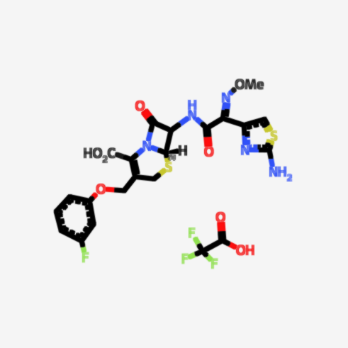 CON=C(C(=O)NC1C(=O)N2C(C(=O)O)=C(COc3cccc(F)c3)CS[C@@H]12)c1csc(N)n1.O=C(O)C(F)(F)F